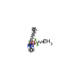 CCCCCC(F)C(F)COc1nc(-c2ccccc2)ncc1CCCCCCCCC1CCCC1